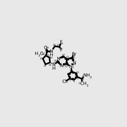 CC(N)c1cc(Cl)cc(-n2nc(Br)c3cnc(N[C@@H]4CC[C@@](C)(C(=O)NCC(F)F)C4)nc32)c1